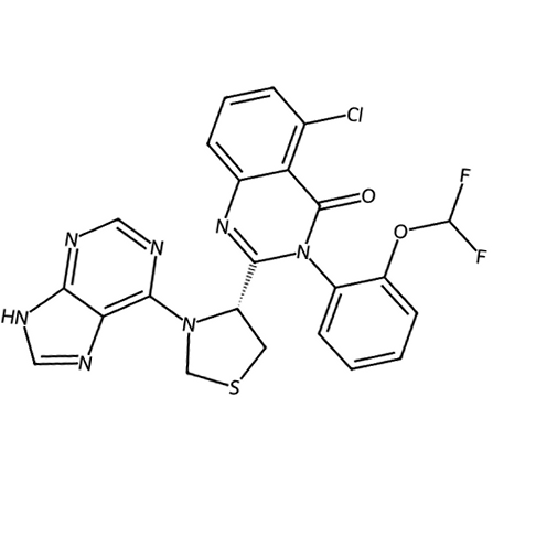 O=c1c2c(Cl)cccc2nc([C@@H]2CSCN2c2ncnc3[nH]cnc23)n1-c1ccccc1OC(F)F